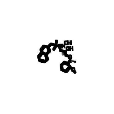 COc1ccccc1[C@@H](C)OC[C@H](O)CNC(C)(C)Cc1ccc2ccccc2c1.Cl